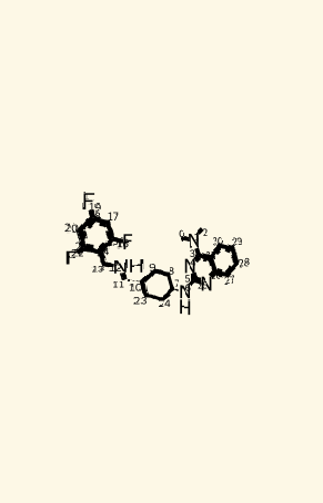 CN(C)c1nc(N[C@H]2CC[C@@H](CNCc3c(F)cc(F)cc3F)CC2)nc2ccccc12